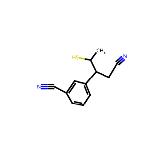 CC(S)C(CC#N)c1cccc(C#N)c1